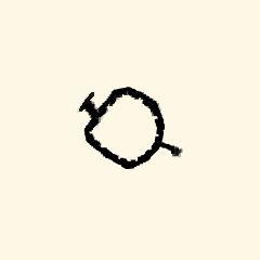 Brc1ccccc(I)cccc1